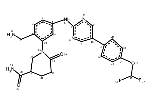 NCc1ccc(Nc2ncc(-c3ccc(OC(F)F)cc3)cn2)cc1N1CC(C(N)=O)CCC1=O